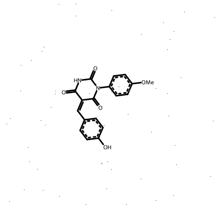 COc1ccc(N2C(=O)NC(=O)/C(=C/c3ccc(O)cc3)C2=O)cc1